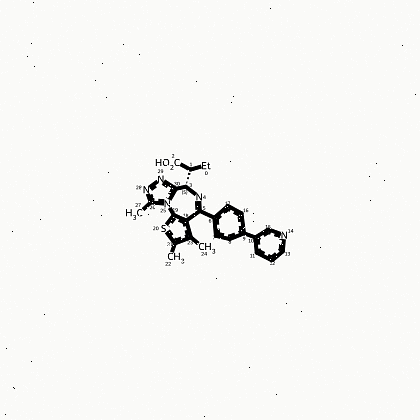 CCC(C(=O)O)[C@@H]1N=C(c2ccc(-c3cccnc3)cc2)c2c(sc(C)c2C)-n2c(C)nnc21